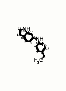 FC(F)(F)Cc1ccc(Nc2ccc3cc[nH]c3c2)nc1